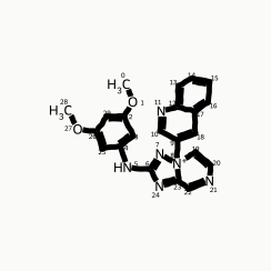 COc1cc(NC2=N[N+]3(c4cnc5ccccc5c4)C=CN=CC3=N2)cc(OC)c1